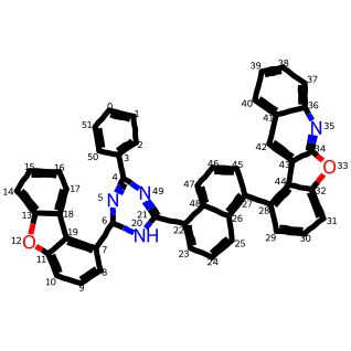 c1ccc(C2=NC(c3cccc4oc5ccccc5c34)NC(c3cccc4c(-c5cccc6oc7nc8ccccc8cc7c56)cccc34)=N2)cc1